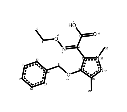 CCON=C(C(=O)O)c1c(OCc2ccccc2)c(C)nn1C